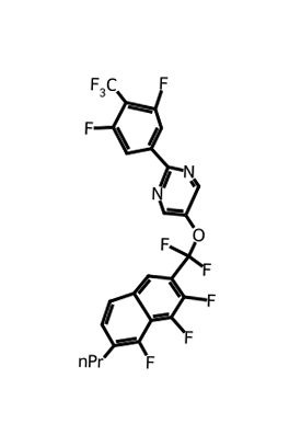 CCCc1ccc2cc(C(F)(F)Oc3cnc(-c4cc(F)c(C(F)(F)F)c(F)c4)nc3)c(F)c(F)c2c1F